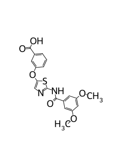 COc1cc(OC)cc(C(=O)Nc2ncc(Oc3cccc(C(=O)O)c3)s2)c1